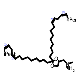 CCCCC/C=C\C/C=C\CCCCCCCCC1(CCCCCCCC/C=C\C/C=C\CCCCC)OCC(CN(C)N)O1